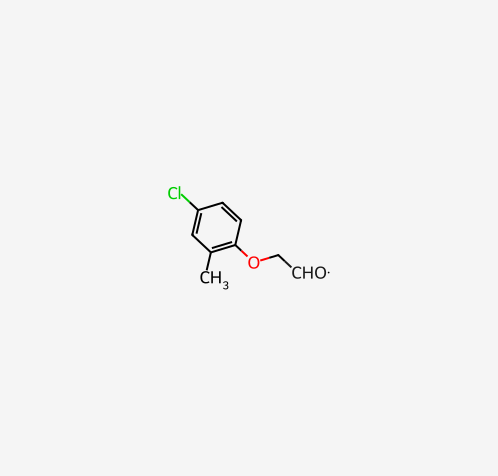 Cc1cc(Cl)ccc1OC[C]=O